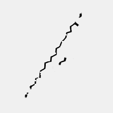 C=CC=C.C=COC(=O)CCCCCCCCCCCCCCCCC(=O)OC=C